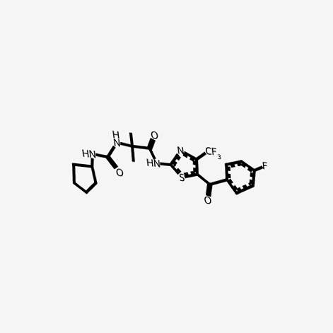 CC(C)(NC(=O)NC1CCCC1)C(=O)Nc1nc(C(F)(F)F)c(C(=O)c2ccc(F)cc2)s1